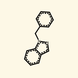 [c]1ccc2c(c1)cnn2Cc1ccccc1